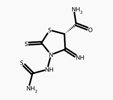 N=C1[C@@H](C(N)=O)SC(=S)N1NC(N)=S